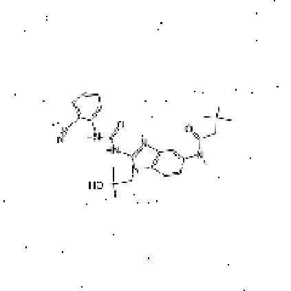 CN(C(=O)CC(C)(C)C)c1ccc2c(c1)nc(NC(=O)Nc1ccccc1C#N)n2CC(C)(C)O